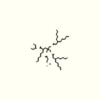 CCCCCCC(CC(COC(=O)CCN(C)C)(COC(=O)CC(CCCCC)CCCCC)COC(=O)CC(CCCCC)CCCCC)C(=O)OC(CC)CC